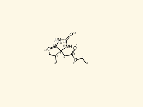 CCOC(=O)CC1(C(C)C)NC(=O)NC1=O